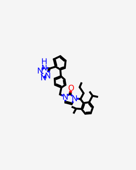 CCCC(c1c(C(C)C)cccc1C(C)C)n1ccn(Cc2ccc(-c3ccccc3-c3nnn[nH]3)cc2)c1=O